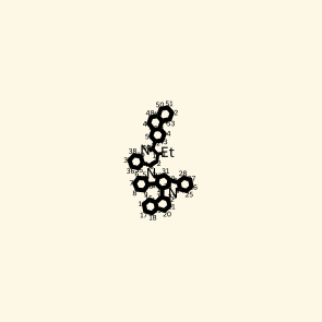 CCC1C=C(n2c3ccccc3c3c4c5c6ccccc6ccc5n5c6ccccc6c(cc32)c45)c2ccccc2N=C1c1ccc2c(ccc3ccccc32)c1